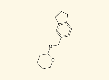 C1=Cc2cc(COC3CCCCO3)ccc2C1